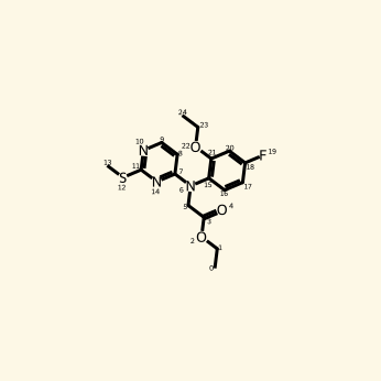 CCOC(=O)CN(c1ccnc(SC)n1)c1ccc(F)cc1OCC